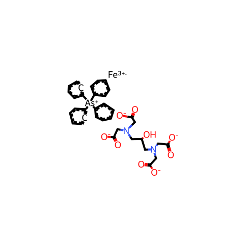 O=C([O-])CN(CC(=O)[O-])CC(O)CN(CC(=O)[O-])CC(=O)[O-].[Fe+3].c1ccc([As+](c2ccccc2)(c2ccccc2)c2ccccc2)cc1